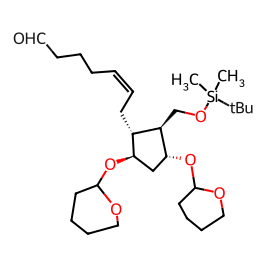 CC(C)(C)[Si](C)(C)OC[C@@H]1[C@@H](C/C=C\CCCC=O)[C@H](OC2CCCCO2)C[C@H]1OC1CCCCO1